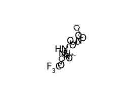 O=C(CCNc1nc2ccc(OC(F)(F)F)cc2[n+]([O-])n1)OC1=CN(C(=O)OCc2ccccc2)CC1